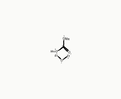 CCOCC.COC(=O)OC